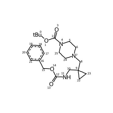 CC(C)(C)OC(=O)N1CCN(CC2(CNC(=O)OCc3ccccc3)CC2)CC1